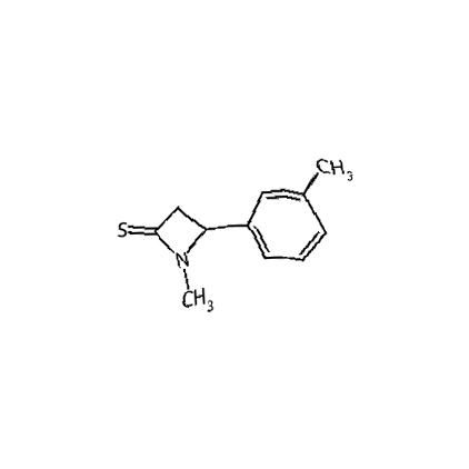 Cc1cccc(C2CC(=S)N2C)c1